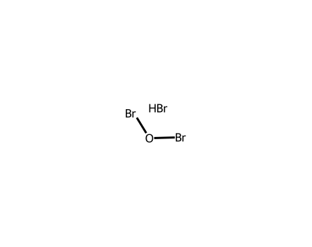 Br.BrOBr